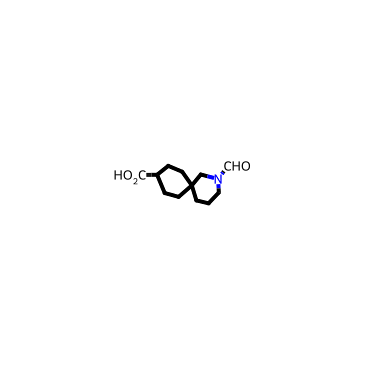 O=CN1CCCC2(CCC(C(=O)O)CC2)C1